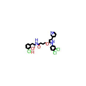 O=C(CCCOc1cc(-c2cccnc2)nn1-c1ccc(Cl)c(Cl)c1)N[C@H](CO)Cc1cccc(Cl)c1